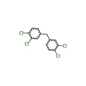 Clc1ccc(Cc2ccc(Cl)c(Cl)c2)cc1Cl